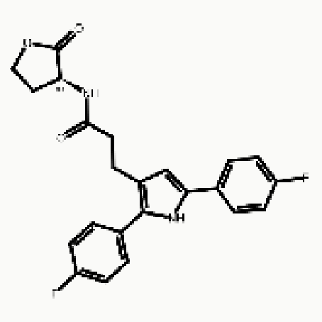 O=C(CCc1cc(-c2ccc(F)cc2)[nH]c1-c1ccc(F)cc1)N[C@H]1CCOC1=O